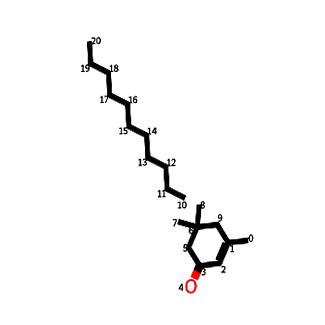 CC1=CC(=O)CC(C)(C)C1.CCCCCCCCCCC